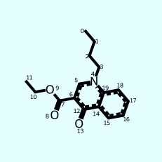 CCCCn1cc(C(=O)OCC)c(=O)c2ccccc21